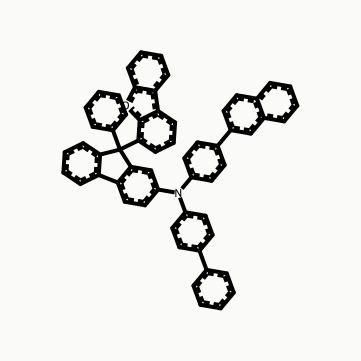 c1ccc(-c2ccc(N(c3ccc(-c4ccc5ccccc5c4)cc3)c3ccc4c(c3)C(c3ccccc3)(c3cccc5c3oc3ccccc35)c3ccccc3-4)cc2)cc1